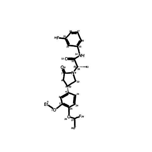 CCOc1cc([C@@H]2CC(=O)N([C@@H](C)C(=O)Nc3cccc(F)c3)C2)ccc1OC(F)F